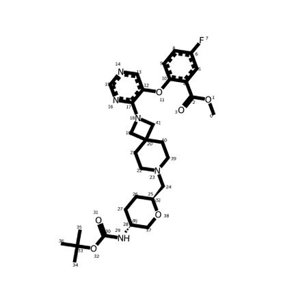 COC(=O)c1cc(F)ccc1Oc1cncnc1N1CC2(CCN(C[C@@H]3CC[C@@H](NC(=O)OC(C)(C)C)CO3)CC2)C1